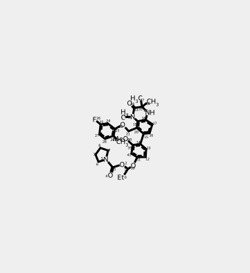 CCC(OC(=O)N1CCCC1)Oc1ccc(-c2ccc3c(c2COc2cc(F)ccc2C)N(C)C(=O)C(C)(C)N3)c(OC)c1